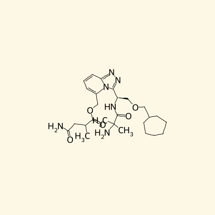 CC(CC(N)=O)C(=O)OCc1cccc2nnc([C@@H](COCC3CCCCCC3)NC(=O)C(C)(C)N)n12